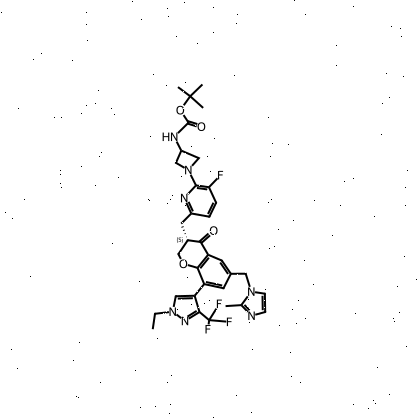 CCn1cc(-c2cc(Cn3ccnc3C)cc3c2OC[C@H](Cc2ccc(F)c(N4CC(NC(=O)OC(C)(C)C)C4)n2)C3=O)c(C(F)(F)F)n1